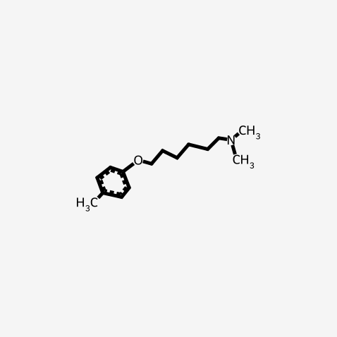 Cc1ccc(OCCCCCCN(C)C)cc1